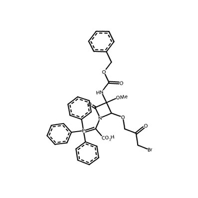 COC1(NC(=O)OCc2ccccc2)C(=O)N(C(C(=O)O)=P(c2ccccc2)(c2ccccc2)c2ccccc2)C1OCC(=O)CBr